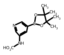 CC1(C)OB(c2cncc(NC(=O)O)c2)OC1(C)C